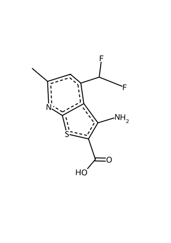 Cc1cc(C(F)F)c2c(N)c(C(=O)O)sc2n1